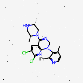 Cc1ccnc(C(C)C)c1N1CN=C(N2C[C@@H](C)NC[C@@H]2C)c2cc(Cl)c(Cl)nc21